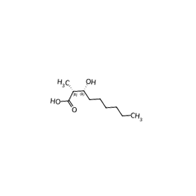 CCCCCC[C@@H](O)[C@@H](C)C(=O)O